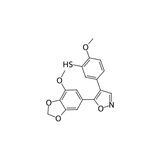 COc1ccc(-c2cnoc2-c2cc(OC)c3c(c2)OCO3)cc1S